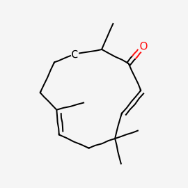 C/C1=C\CC(C)(C)/C=C/C(=O)C(C)CCC1